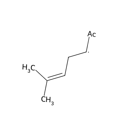 CC(=O)[CH]CC=C(C)C